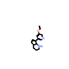 C=COc1cncc(C2=CCC3CCCNC23)c1